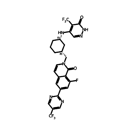 O=c1[nH]ncc(N[C@H]2CCC[C@@H](Cn3ccc4cc(-c5ncc(C(F)(F)F)cn5)cc(F)c4c3=O)C2)c1C(F)(F)F